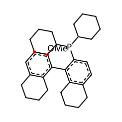 COc1ccc2c(c1-c1c(P(C3CCCCC3)C3CCCCC3)ccc3c1CCCC3)CCCC2